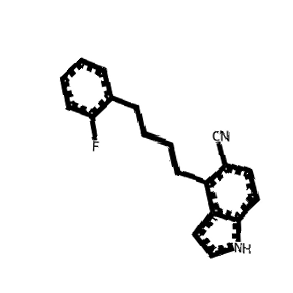 N#Cc1ccc2[nH]ccc2c1CCCCc1ccccc1F